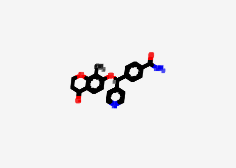 Cc1c(O[C@@H](c2ccncc2)c2ccc(C(N)=O)cc2)ccc2c1OCCC2=O